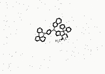 C=CC1=C(/C=C\C)C(c2ccccc2)(c2ccccc2)c2cc(N(c3ccc(N4c5ccccc5-c5cccc6cccc4c56)cc3)c3ccc4ccccc4c3)ccc21